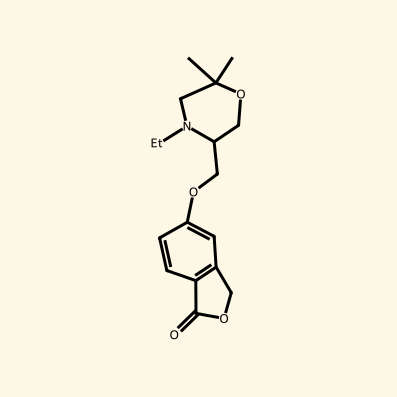 CCN1CC(C)(C)OCC1COc1ccc2c(c1)COC2=O